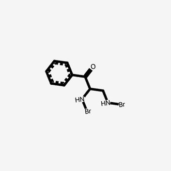 O=C(c1ccccc1)C(CNBr)NBr